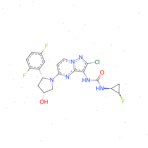 O=C(Nc1c(Cl)nn2ccc(N3C[C@H](O)C[C@@H]3c3cc(F)ccc3F)nc12)N[C@H]1C[C@H]1F